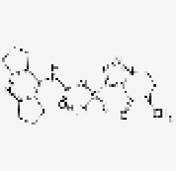 CN1CCn2ncc(S(N)(=O)=NC(=O)Nc3c4c(nc5c3CCC5)CCC4)c2C1=O